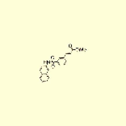 COC(=O)/C=C/c1cccc(S(=O)(=O)Nc2ccc3ccccc3c2)c1